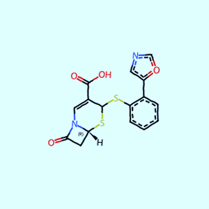 O=C(O)C1=CN2C(=O)C[C@H]2SC1Sc1ccccc1-c1cnco1